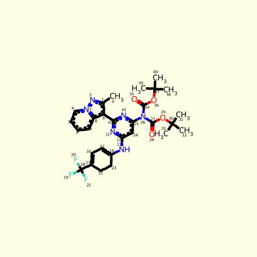 Cc1nn2ccccc2c1-c1nc(NC2=CC=C(C(F)(F)F)CC2)cc(N(C(=O)OC(C)(C)C)C(=O)OC(C)(C)C)n1